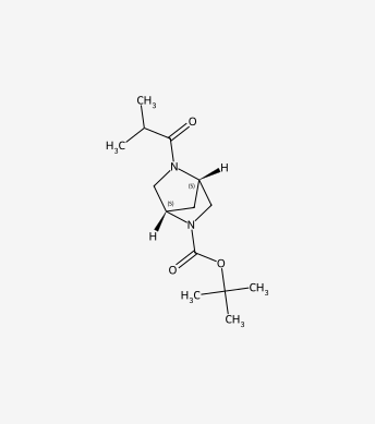 CC(C)C(=O)N1C[C@@H]2C[C@H]1CN2C(=O)OC(C)(C)C